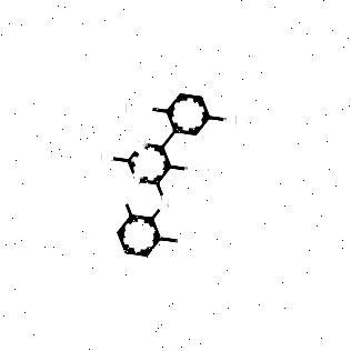 Cc1ccc(C=O)cc1-c1nc(S)nc(Nc2c(F)cccc2F)c1C=O